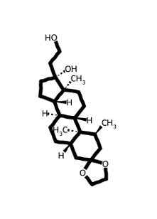 C[C@H]1CC2(C[C@@H]3CC[C@@H]4[C@H](CC[C@@]5(C)[C@H]4CC[C@@]5(O)CCO)[C@]31C)OCCO2